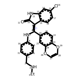 CCNCc1ccc(N/C(=C2\C(=O)Nc3cc(Cl)ccc32)c2ccc3c(c2)OC=CO3)cc1